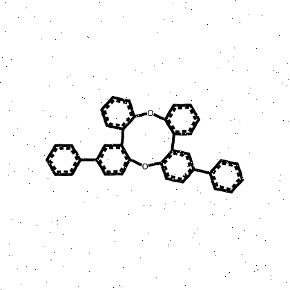 c1ccc(-c2ccc3c(c2)-c2ccccc2Oc2ccccc2-c2cc(-c4ccccc4)ccc2O3)cc1